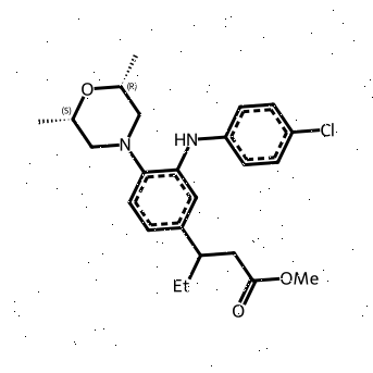 CCC(CC(=O)OC)c1ccc(N2C[C@@H](C)O[C@@H](C)C2)c(Nc2ccc(Cl)cc2)c1